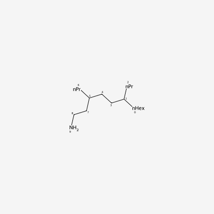 CCCCCCC(CCC)CCC(CCC)CCN